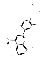 Cc1cc(-c2cc([N+](=O)[O-])c3ccccc3n2)cnc1C.N